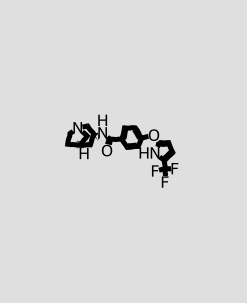 O=C(N[C@@H]1C[C@H]2CCN(C2)C1)c1ccc(Oc2ccc(C(F)(F)F)[nH]2)cc1